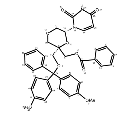 COc1ccc(C(OC[C@]2(COC(=O)c3ccccc3)COC[C@H](n3ccc(=O)[nH]c3=O)O2)(c2ccccc2)c2ccc(OC)cc2)cc1